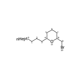 CCCCCCCCCCC1CCCC(CBr)O1